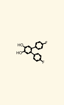 Oc1cc(-c2ccc(F)cc2)c(-c2ccc(F)cc2)cc1O